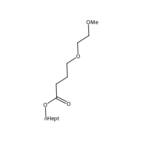 CCCCCCCOC(=O)CCCOCCOC